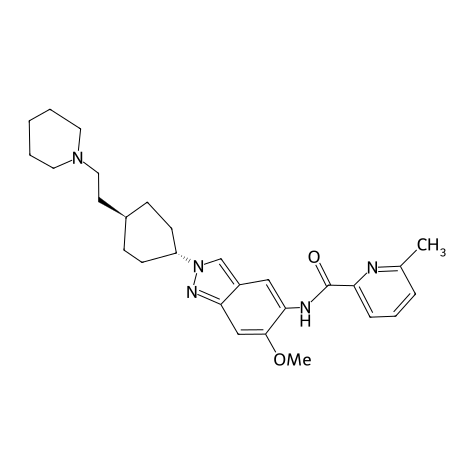 COc1cc2nn([C@H]3CC[C@H](CCN4CCCCC4)CC3)cc2cc1NC(=O)c1cccc(C)n1